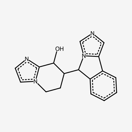 OC1c2nccn2CCC1C1c2ccccc2-c2cncn21